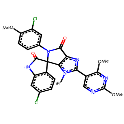 COc1ncc(-c2nc3c(n2C(C)C)C2(C(=O)Nc4cc(Cl)ccc42)N(c2ccc(OC)c(Cl)c2)C3=O)c(OC)n1